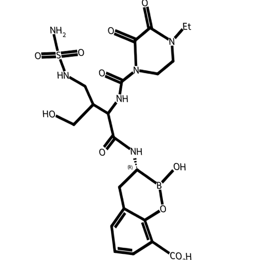 CCN1CCN(C(=O)NC(C(=O)N[C@H]2Cc3cccc(C(=O)O)c3OB2O)C(CO)CNS(N)(=O)=O)C(=O)C1=O